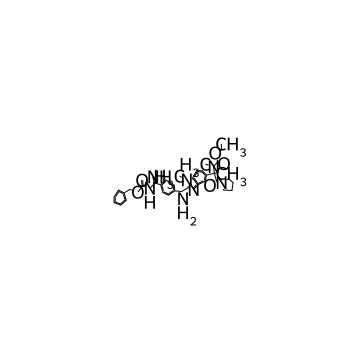 CCOC(=O)N(C)C(C)(C(=O)N1CCCC1)c1ccc2c(c1)nc(C(N)c1ccc(C(=N)NC(=O)OCc3ccccc3)cc1)n2C